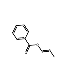 CN=NOC(=O)c1ccccc1